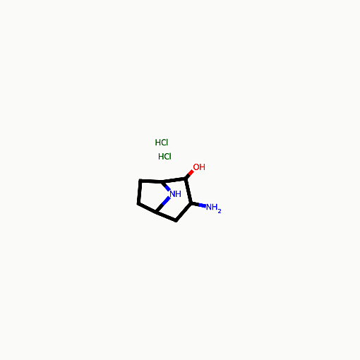 Cl.Cl.NC1CC2CCC(N2)C1O